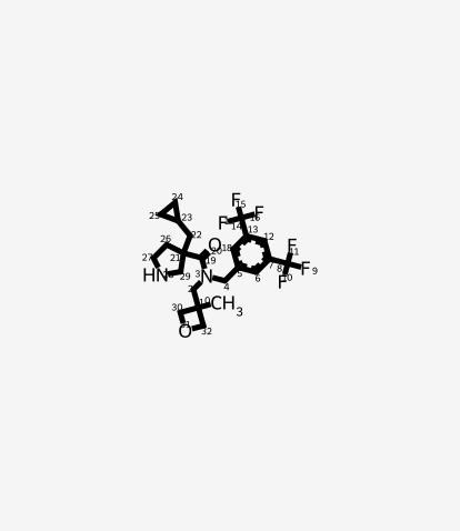 CC1(CN(Cc2cc(C(F)(F)F)cc(C(F)(F)F)c2)C(=O)C2(CC3CC3)CCNC2)COC1